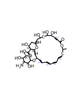 CC1C/C=C/C=C/C=C/C=C/C(OC2O[C@H](C)C(O)[C@H](N)[C@@H]2O)C[C@@H]2OC(O)(CC(O)CC(O)C(O)/C=C/C(=O)O1)C[C@H](O)C2C(=O)O